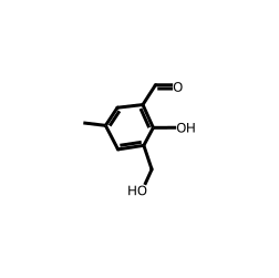 Cc1cc(C=O)c(O)c(CO)c1